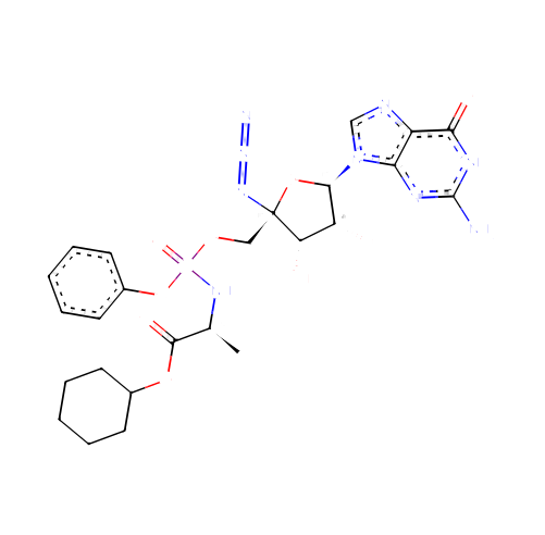 C[C@H](NP(=O)(OC[C@@]1(N=[N+]=[N-])O[C@@H](n2cnc3c(=O)[nH]c(N)nc32)[C@H](O)[C@@H]1O)Oc1ccccc1)C(=O)OC1CCCCC1